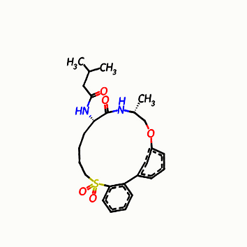 CC(C)CC(=O)N[C@H]1CCCCS(=O)(=O)c2ccccc2-c2cccc(c2)OC[C@@H](C)NC1=O